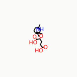 CC12CCC(C(OC(CCC(=O)O)C(=O)O)C1)C(C)(C)N2